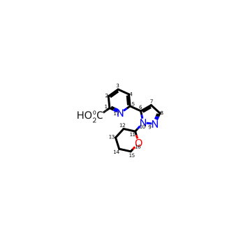 O=C(O)c1cccc(-c2ccnn2C2CCCCO2)n1